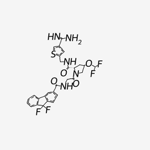 N=C(N)c1csc(CNC(=O)[C@@H]2C[C@@H](OC(F)F)CN2C(=O)CNC(=O)c2ccc3c(c2)-c2ccccc2C3(F)F)c1